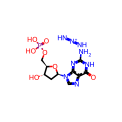 N=[N+]=N.Nc1nc2c(ncn2[C@H]2C[C@H](O)[C@@H](COP(=O)(O)O)O2)c(=O)[nH]1